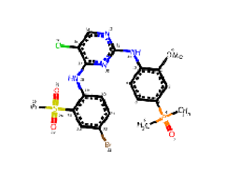 COc1cc(P(C)(C)=O)ccc1Nc1ncc(Cl)c(Nc2ccc(Br)cc2S(=O)(=O)C(C)C)n1